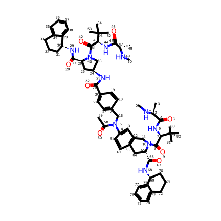 CN[C@@H](C)C(=O)N[C@H](C(=O)N1Cc2cc(N(Cc3ccc(C(=O)N[C@H]4C[C@@H](C(=O)N[C@@H]5CCCc6ccccc65)N(C(=O)[C@@H](NC(=O)[C@H](C)NC)C(C)(C)C)C4)cc3)C(C)=O)ccc2C[C@H]1C(=O)N[C@@H]1CCCc2ccccc21)C(C)(C)C